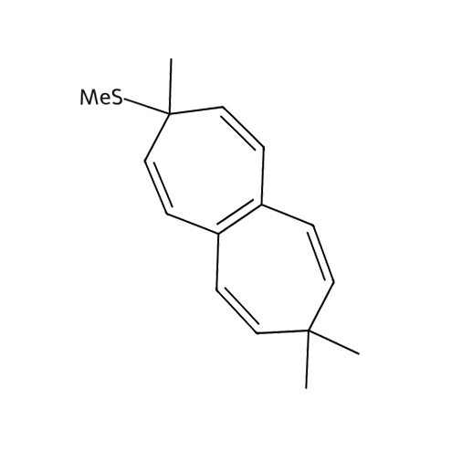 CSC1(C)C=CC2=C(C=CC(C)(C)C=C2)C=C1